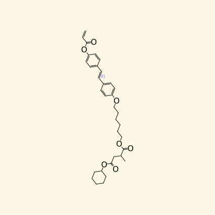 C=CC(=O)Oc1ccc(/C=C/c2ccc(OCCCCCCOC(=O)C(C)CC(=O)OC3CCCCC3)cc2)cc1